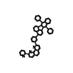 c1ccc(-c2c3c(c(-c4ccccc4)c4ccccc24)-c2ccc(-c4cccc(-c5ccc6ccc7ccc(-c8ccccn8)nc7c6n5)c4)c4cccc-3c24)cc1